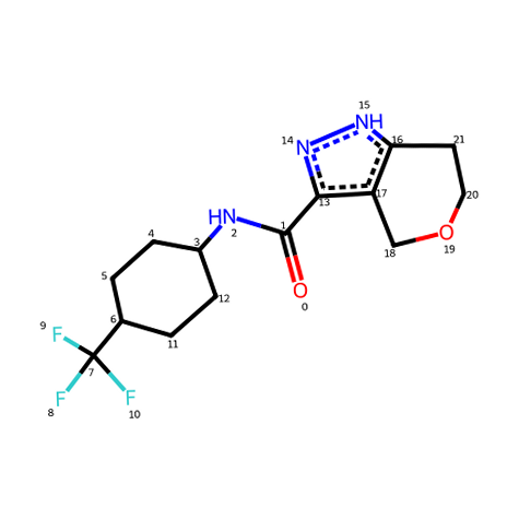 O=C(NC1CCC(C(F)(F)F)CC1)c1n[nH]c2c1COCC2